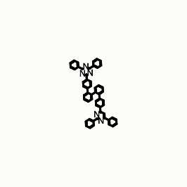 c1ccc(-c2cc(-c3ccc(-c4ccccc4-c4ccccc4-c4ccc(-c5nc(-c6ccccc6)nc(-c6ccccc6)n5)cc4)cc3)nc(-c3ccccc3)n2)cc1